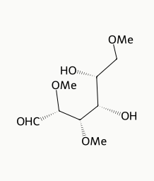 COC[C@@H](O)[C@H](O)[C@H](OC)[C@H](C=O)OC